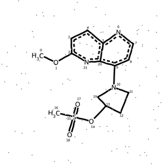 COc1ccc2nccc(N3CCC(OS(C)(=O)=O)C3)c2n1